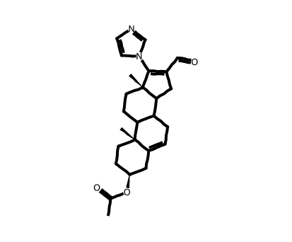 CC(=O)O[C@H]1CC[C@@]2(C)C(=CCC3C2CC[C@]2(C)C(n4ccnc4)=C(C=O)CC32)C1